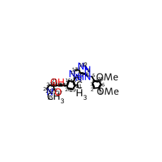 COc1ccc(CNc2ncnc3cnc(-c4cc(C#CC5(O)CCN(C)C5=O)ccc4C)nc23)c(OC)c1